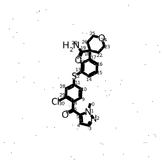 Cn1nccc1C(=O)c1ccc(Sc2cccc(C3(C(N)=O)CCOCC3)c2)cc1Cl